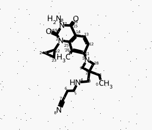 CCC1(CNCCC#N)CN(c2ccc3c(=O)n(N)c(=O)n(C4CC4)c3c2C)C1